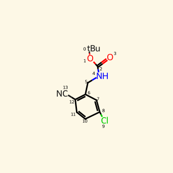 CC(C)(C)OC(=O)NCc1cc(Cl)ccc1C#N